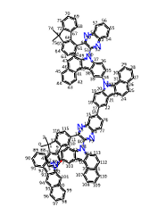 CC1(C)c2ccccc2-c2cc(-c3nc4cc(-c5ccc6c(c5)c5ccc7ccccc7c5n6-c5ccc6c(c5)c5c7ccccc7ccc5n6-c5nc6ccccc6nc5-c5cccc6c5-c5ccccc5C6(C)C)ccc4nc3-n3c4ccc(-n5c6ccccc6c6cc7ccccc7cc65)cc4c4c5ccccc5ccc43)ccc21